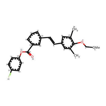 COCOc1c(C)cc(/C=C/c2cccc(C(=O)Oc3ccc(F)cc3)c2)cc1C